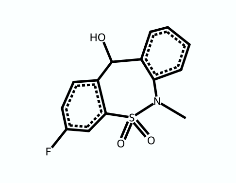 CN1c2ccccc2C(O)c2ccc(F)cc2S1(=O)=O